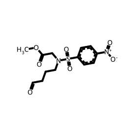 COC(=O)CN(CCCC=O)S(=O)(=O)c1ccc([N+](=O)[O-])cc1